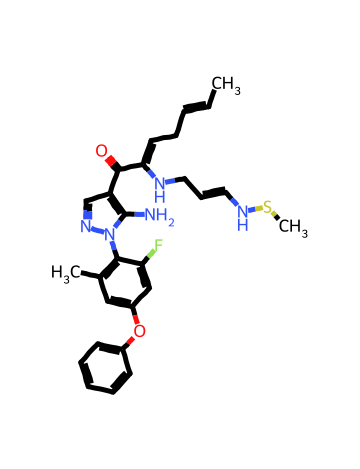 C/C=C/C/C=C(\NC/C=C/NSC)C(=O)c1cnn(-c2c(C)cc(Oc3ccccc3)cc2F)c1N